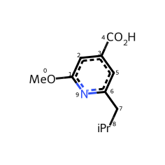 COc1cc(C(=O)O)cc(CC(C)C)n1